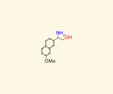 COc1ccc2ccc(C(N)CO)cc2c1